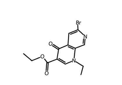 CCOC(=O)c1cn(CC)c2cnc(Br)cc2c1=O